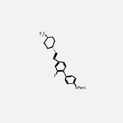 CCCCCc1ccc(-c2ccc(C=C[C@H]3CC[C@H](C(F)(F)F)CC3)cc2F)cc1